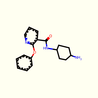 NC1CCC(NC(=O)c2cccnc2Oc2ccccc2)CC1